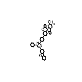 CC1C=CC2=C(C1)C1(c3ccccc3Oc3cc(-c4ccc(-c5nc(-c6ccccc6)cc(-c6ccc7c(c6)oc6ccccc67)n5)cc4)ccc31)c1ccccc12